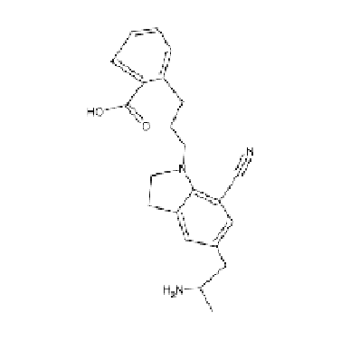 CC(N)Cc1cc(C#N)c2c(c1)CCN2CCCc1ccccc1C(=O)O